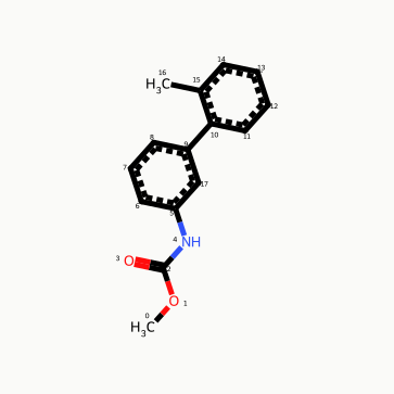 COC(=O)Nc1cccc(-c2cc[c]cc2C)c1